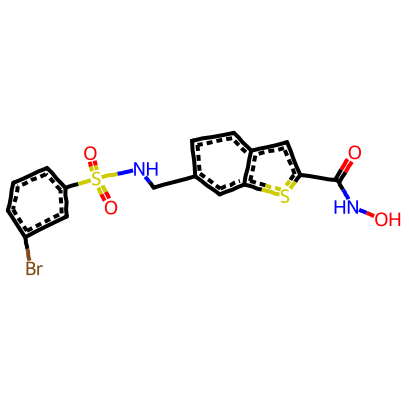 O=C(NO)c1cc2ccc(CNS(=O)(=O)c3cccc(Br)c3)cc2s1